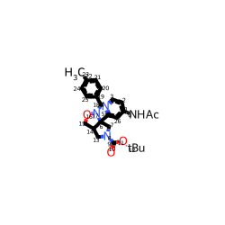 CC(=O)Nc1ccnc(C23CN(C(=O)OC(C)(C)C)CC2CON3Cc2ccc(C)cc2)c1